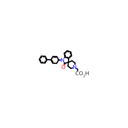 O=C(O)CN1CCC2(CC1)C(=O)N(C1C=CC(c3ccccc3)=CC1)c1ccccc12